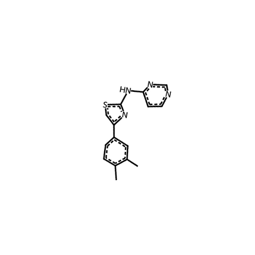 Cc1ccc(-c2csc(Nc3ccncn3)n2)cc1C